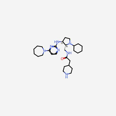 O=C(CC1CCNCC1)NC[C@@H]1[C@@H](Nc2nccc(N3CCCCCC3)n2)CCN1C1CCCCC1